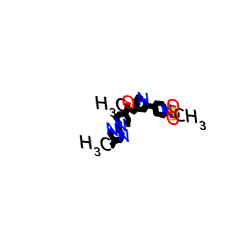 CCc1cnc(N2CCC(C3(C)Cc4cc(C5=CCN(S(C)(=O)=O)CC5)ncc4O3)CC2)nc1